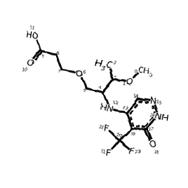 COC(C)C(COCCC(=O)O)Nc1cn[nH]c(=O)c1C(F)(F)F